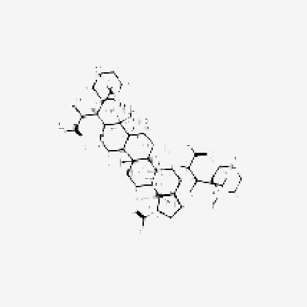 C=C(C)[C@@H]1CC[C@]2(CC(C(Cl)C(=O)[O-])C3CN4CC[N+]3(Cl)CC4)CC[C@]3(C)[C@H](CC[C@@H]4[C@@]5(C)CCC(C(C(Cl)C(=O)[O-])C6CN7CC[N+]6(Cl)CC7)C(C)(C)[C@@H]5CC[C@]43C)[C@@H]12